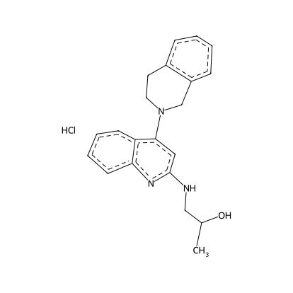 CC(O)CNc1cc(N2CCc3ccccc3C2)c2ccccc2n1.Cl